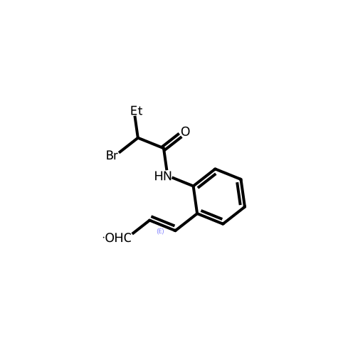 CCC(Br)C(=O)Nc1ccccc1/C=C/[C]=O